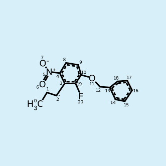 CC[CH]c1c([N+](=O)[O-])ccc(OCc2ccccc2)c1F